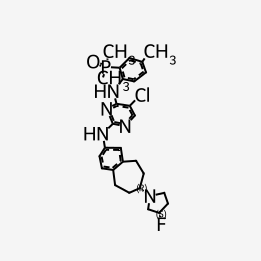 Cc1ccc(Nc2nc(Nc3ccc4c(c3)CC[C@H](N3CC[C@H](F)C3)CC4)ncc2Cl)c(P(C)(C)=O)c1